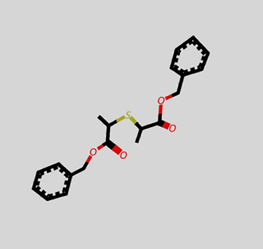 CC(SC(C)C(=O)OCc1ccccc1)C(=O)OCc1ccccc1